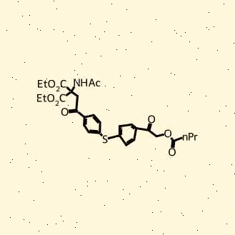 CCCC(=O)OCC(=O)c1ccc(Sc2ccc(C(=O)CC(NC(C)=O)(C(=O)OCC)C(=O)OCC)cc2)cc1